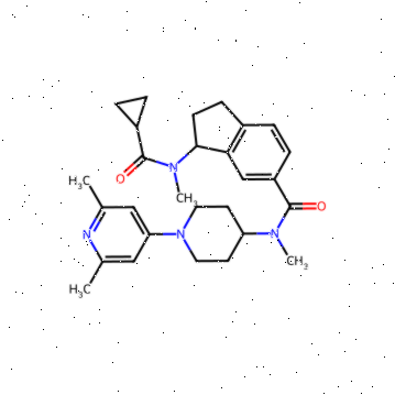 Cc1cc(N2CCC(N(C)C(=O)c3ccc4c(c3)C(N(C)C(=O)C3CC3)CC4)CC2)cc(C)n1